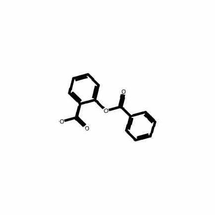 [O]C(=O)c1ccccc1OC(=O)c1ccccc1